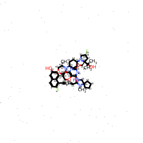 C#Cc1c(F)ccc2cc(O)cc([C@@H]3COc4c(nc(OC[C@]5(C(C)(C)O)C[C@@H](F)CN5C5CCC(N6CCOC[C@@H]6C)CC5)nc4NCC4(N(C)C(=O)C=C)CCCC4)C3)c12